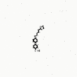 O=Cc1ccc(-c2ccc(OCCCCC3OCCO3)cc2)cc1